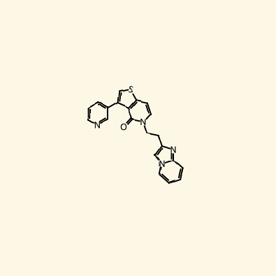 O=c1c2c(-c3cccnc3)csc2ccn1CCc1cn2ccccc2n1